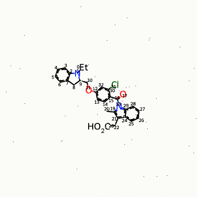 CCN1c2ccccc2C[C@@H]1COc1ccc(C(=O)n2c(C)c(CC(=O)O)c3ccccc32)c(Cl)c1